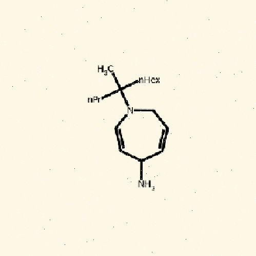 CCCCCCC(C)(CCC)N1C=CC(N)C=CC1